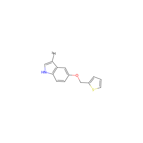 [2H]c1c[nH]c2ccc(OCc3cccs3)cc12